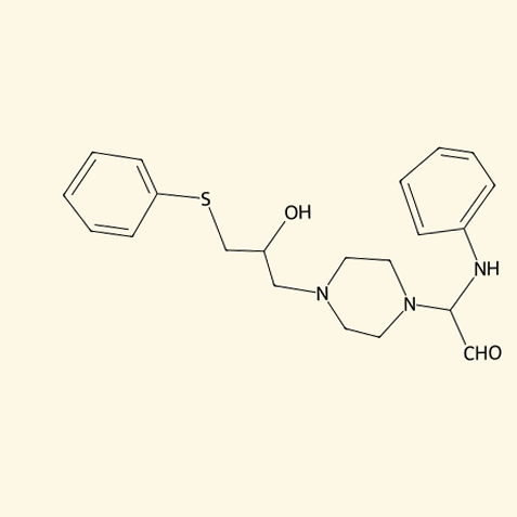 O=CC(Nc1ccccc1)N1CCN(CC(O)CSc2ccccc2)CC1